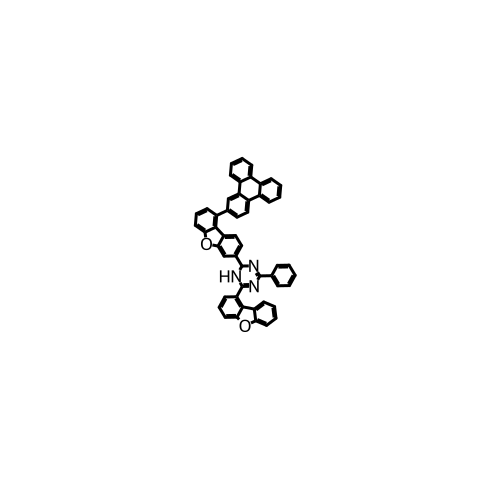 c1ccc(C2=NC(c3ccc4c(c3)oc3cccc(-c5ccc6c7ccccc7c7ccccc7c6c5)c34)NC(c3cccc4oc5ccccc5c34)=N2)cc1